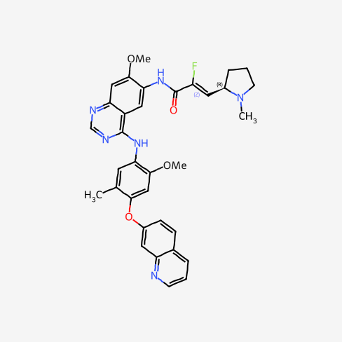 COc1cc2ncnc(Nc3cc(C)c(Oc4ccc5cccnc5c4)cc3OC)c2cc1NC(=O)/C(F)=C/[C@H]1CCCN1C